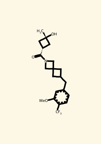 COc1cc(CC2CC3(C2)CN(C(=O)[C@H]2C[C@@](C)(O)C2)C3)ccc1C(F)(F)F